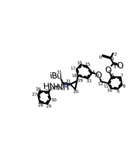 C=C(C)C(=O)Oc1ccccc1COc1cccc(C2C/C2=C(\NNc2ccccc2)C(C)CC)c1